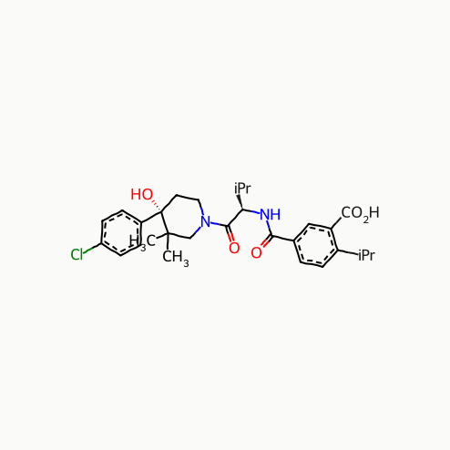 CC(C)c1ccc(C(=O)N[C@@H](C(=O)N2CC[C@](O)(c3ccc(Cl)cc3)C(C)(C)C2)C(C)C)cc1C(=O)O